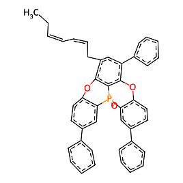 CC/C=C\C=C/Cc1cc(-c2ccccc2)c2c3c1Oc1ccc(-c4ccccc4)cc1P3(=O)c1cc(-c3ccccc3)ccc1O2